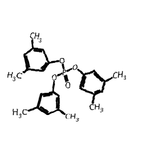 Cc1cc(C)cc(OP(=O)(Oc2cc(C)cc(C)c2)Oc2cc(C)cc(C)c2)c1